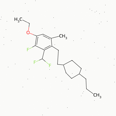 CCCC1CCC(CCc2c(C)cc(OCC)c(F)c2C(F)F)CC1